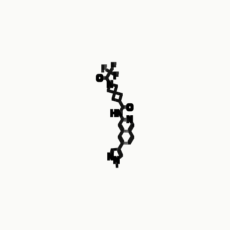 Cn1cc(-c2ccc3cnc(NC(=O)C4CC5(C4)CN(C(=O)C(F)(F)F)C5)cc3c2)cn1